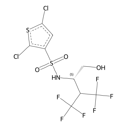 O=S(=O)(N[C@H](CO)C(C(F)(F)F)C(F)(F)F)c1cc(Cl)sc1Cl